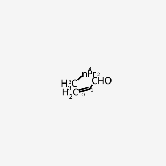 C=CC=O.CCCC